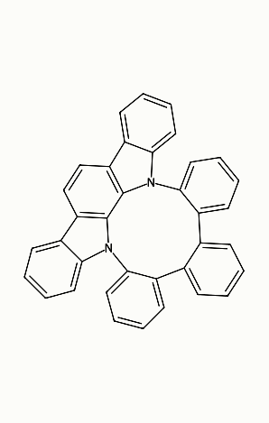 c1ccc2c(c1)c1ccccc1n1c3ccccc3c3ccc4c5ccccc5n(c5ccccc25)c4c31